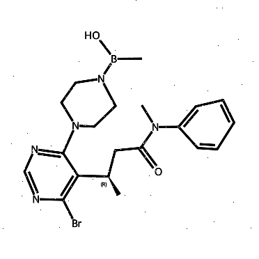 CB(O)N1CCN(c2ncnc(Br)c2[C@H](C)CC(=O)N(C)c2ccccc2)CC1